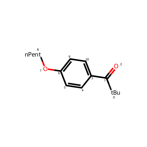 [CH2]C(C)(C)C(=O)c1ccc(OCCCCC)cc1